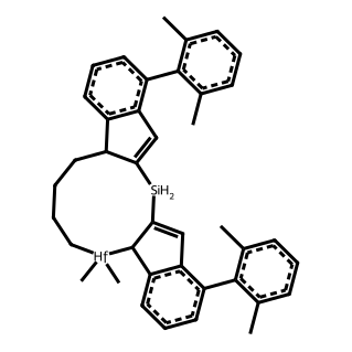 Cc1cccc(C)c1-c1cccc2c1C=C1[SiH2]C3=Cc4c(-c5c(C)cccc5C)cccc4[CH]3[Hf]([CH3])([CH3])[CH2]CCCC12